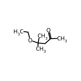 CCOC(C)(C)CC(C)=O